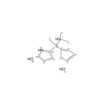 C[SiH](C)[Ti]([CH3])([C]1=CC=CC1)[c]1ccc[nH]1.Cl.Cl